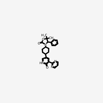 CC1(C)OC(=O)N(C2CCC(c3c[nH]c(=O)c(-c4ncccn4)c3)CC2)C1c1ccccc1